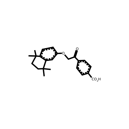 CC1(C)CCC(C)(C)c2cc(OCC(=O)c3ccc(C(=O)O)cc3)ccc21